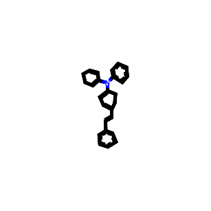 C1=CC(N(C2=CC=C(C=Cc3ccccc3)CC2)c2ccccc2)=CCC1